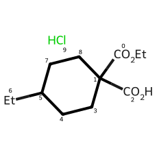 CCOC(=O)C1(C(=O)O)CCC(CC)CC1.Cl